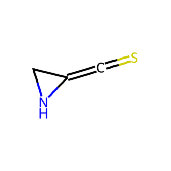 S=C=C1CN1